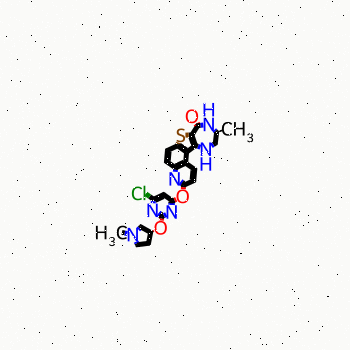 C[C@@H]1CNc2c(sc3ccc4nc(Oc5cc(Cl)nc(O[C@@H]6CCN(C)C6)n5)ccc4c23)C(=O)N1